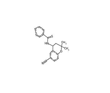 CC1(C)CC(NC(=S)c2cccnc2)c2cc(C#N)ccc2O1